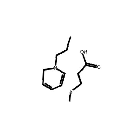 CCCN1C=CC=CC1.CSCCC(=O)O